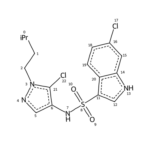 CC(C)CCn1ncc(NS(=O)(=O)c2c[nH]c3cc(Cl)ccc23)c1Cl